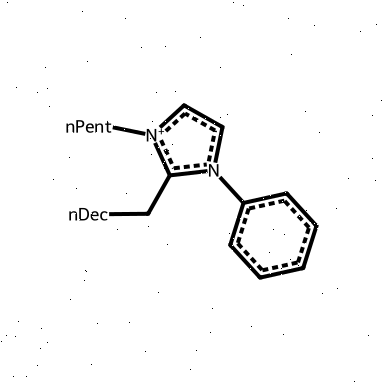 CCCCCCCCCCCc1n(-c2ccccc2)cc[n+]1CCCCC